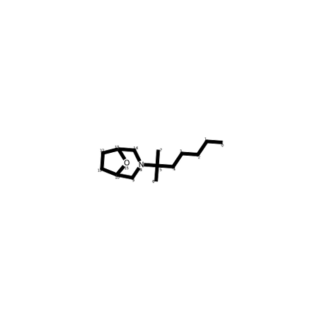 CCCCCC(C)(C)N1CC2CCC(C1)O2